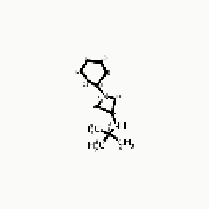 CC(C)(C)NC1CN(C2CCCCC2)C1